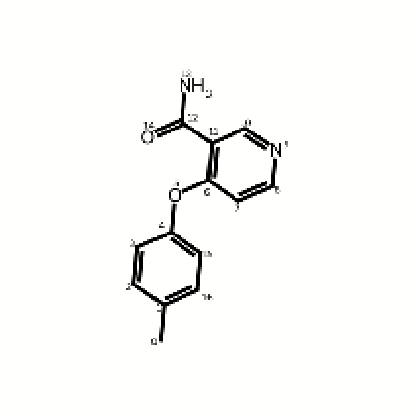 Cc1ccc(Oc2ccncc2C(N)=O)cc1